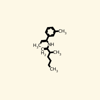 C=C(N/C(=C\C)c1cccc(C)c1)C(C)CCCC